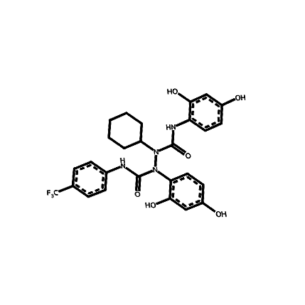 O=C(Nc1ccc(C(F)(F)F)cc1)N(c1ccc(O)cc1O)N(C(=O)Nc1ccc(O)cc1O)C1CCCCC1